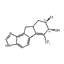 CC[C@@H]1CC2Cc3c(ccc4[nH]cnc34)C2=C(C(F)(F)F)[C@@H]1O